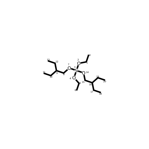 CCO[Si](OCC)(OCC(CC)CC)OCC(CC)CC